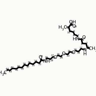 C=C(CCC(=O)NCCCC[C@H](C)C(=O)O)NCCCOCCOCCOCCCNC(=O)CCCCCCCCCCCCC